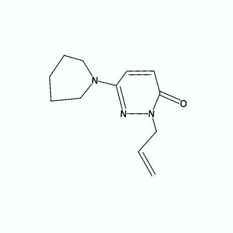 C=CCn1nc(N2CCCCC2)ccc1=O